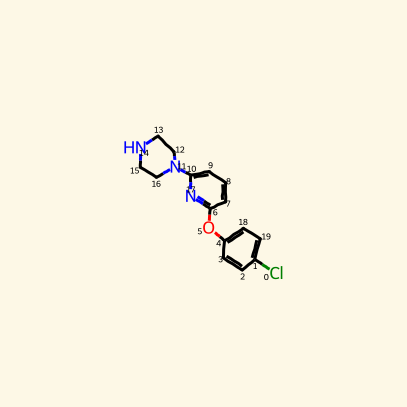 Clc1ccc(Oc2cccc(N3CCNCC3)n2)cc1